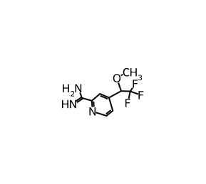 COC(c1ccnc(C(=N)N)c1)C(F)(F)F